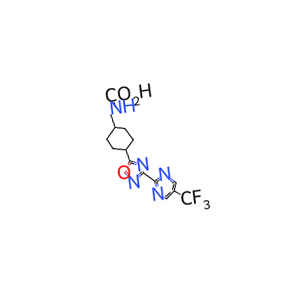 O=C(O)NCC1CCC(c2nc(-c3ncc(C(F)(F)F)cn3)no2)CC1